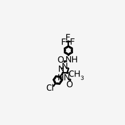 CC1(NC=O)CN(C(=O)Nc2ccc(C(F)(F)F)cc2)N=C1c1ccc(Cl)cc1